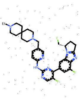 CCN1CCC2(CC1)CCN(Cc1ccc(Nc3ncc(F)c(-c4cc(F)c5nc6n(c5c4)[C@H](CF)CC6)n3)nc1)CC2